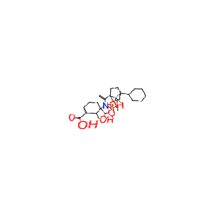 C=C(N(S)C1(C(=O)O)CCCC(C(=O)O)C1C)C12CCC(C3CCCCC3)(CC1O)C2(C)C